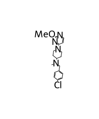 COc1nccc(N2CCC(N(C)Cc3ccc(Cl)cc3)CC2)n1